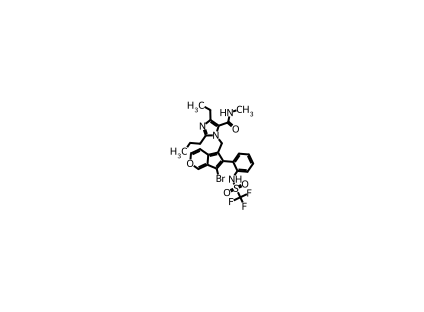 CCCc1nc(CC)c(C(=O)NC)n1Cc1c2ccocc-2c(Br)c1-c1ccccc1NS(=O)(=O)C(F)(F)F